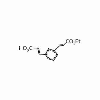 CCOC(=O)C=Cc1cccc(C=CC(=O)O)c1